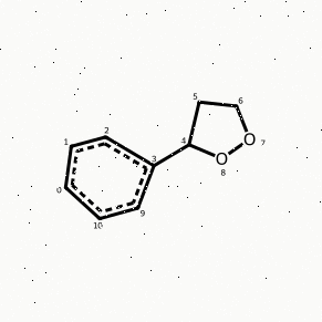 c1ccc(C2CCOO2)cc1